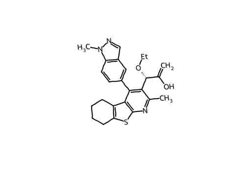 C=C(O)[C@@H](OCC)c1c(C)nc2sc3c(c2c1-c1ccc2c(cnn2C)c1)CCCC3